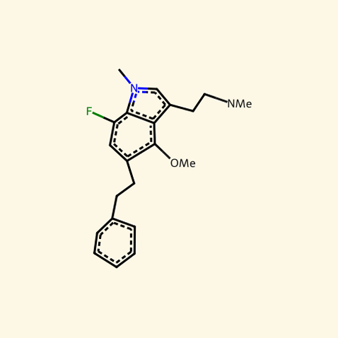 CNCCc1cn(C)c2c(F)cc(CCc3ccccc3)c(OC)c12